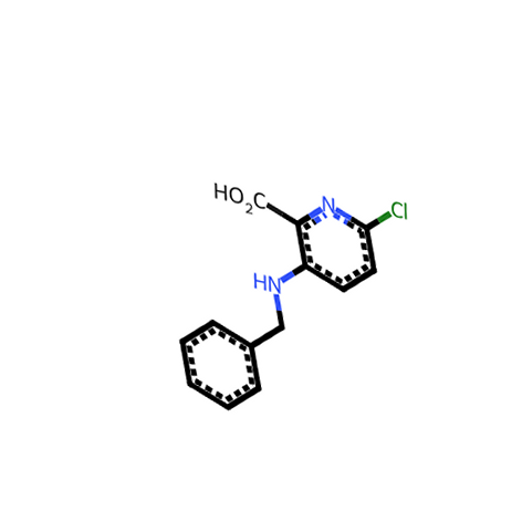 O=C(O)c1nc(Cl)ccc1NCc1ccccc1